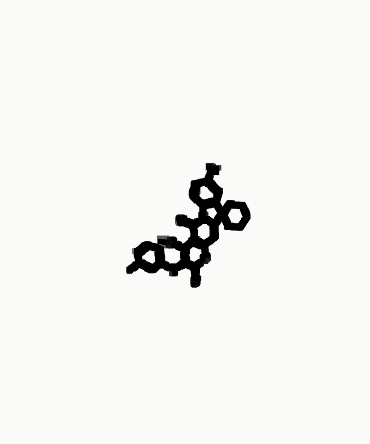 Cc1cccc(Sc2c(O)c3c(=O)n4c(cc3oc2=O)C2(CCCCC2)c2cc(Br)ccc2-4)c1